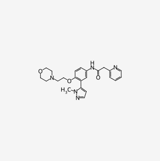 Cn1nccc1-c1cc(NC(=O)Cc2ccccn2)ccc1OCCN1CCOCC1